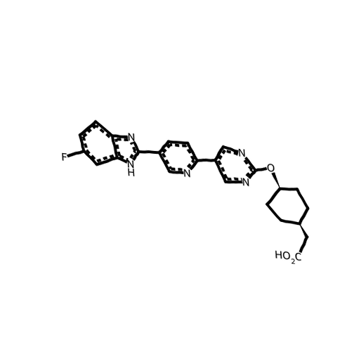 O=C(O)C[C@H]1CC[C@@H](Oc2ncc(-c3ccc(-c4nc5ccc(F)cc5[nH]4)cn3)cn2)CC1